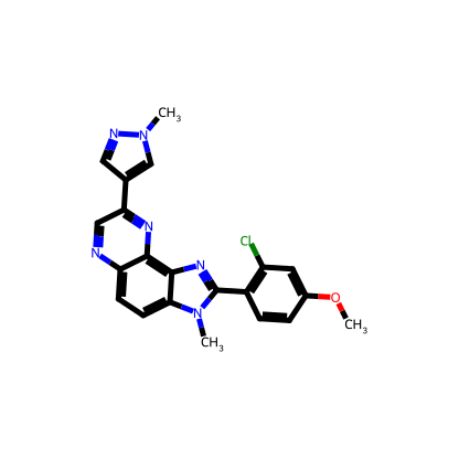 COc1ccc(-c2nc3c4nc(-c5cnn(C)c5)cnc4ccc3n2C)c(Cl)c1